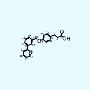 O=C(O)CCc1ccc(OCc2cccc(-c3ccccn3)c2)cc1